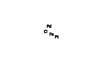 [C].[Fe].[Pd].[Pt]